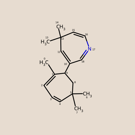 CC1=CC=CC(C)(C)CC1C1=CC(C)(C)C=CN=C1